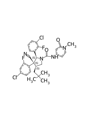 Cn1ccc(NC(=O)N2C[C@@H](CC(C)(C)C)[C@](C#N)(c3ccc(Cl)cc3F)[C@H]2c2cccc(Cl)c2F)cc1=O